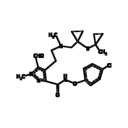 CN(CCc1c(C(=O)NOc2ccc(Cl)cc2)nn(C)c1C=O)CC1(SC2(C)CC2)CC1